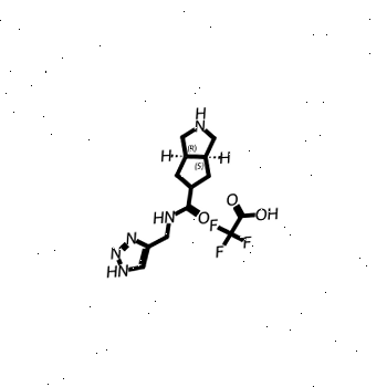 O=C(NCc1c[nH]nn1)C1C[C@H]2CNC[C@H]2C1.O=C(O)C(F)(F)F